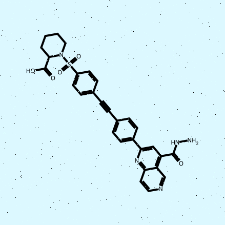 NNC(=O)c1cc(-c2ccc(C#Cc3ccc(S(=O)(=O)N4CCCCC4C(=O)O)cc3)cc2)nc2ccncc12